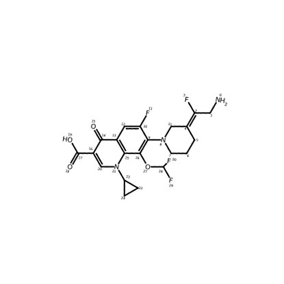 NCC(F)=C1CCCN(c2c(F)cc3c(=O)c(C(=O)O)cn(C4CC4)c3c2OC(F)F)C1